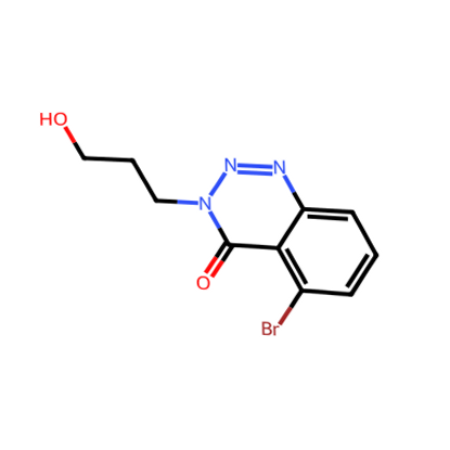 O=c1c2c(Br)cccc2nnn1CCCO